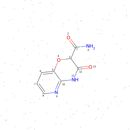 NC(=O)C1Oc2cc[c]nc2NC1=O